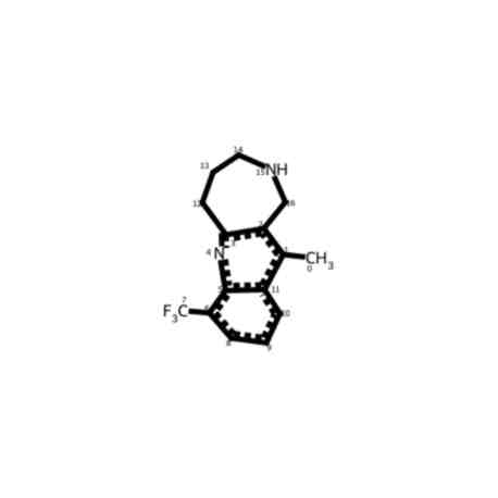 Cc1c2c(nc3c(C(F)(F)F)cccc13)CCCNC2